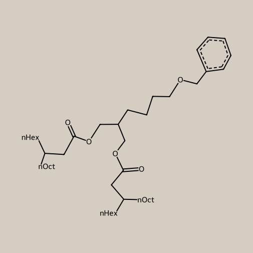 CCCCCCCCC(CCCCCC)CC(=O)OCC(CCCCOCc1ccccc1)COC(=O)CC(CCCCCC)CCCCCCCC